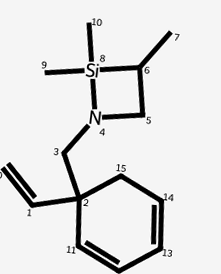 C=CC1(CN2CC(C)[Si]2(C)C)C=CC=CC1